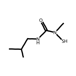 CC(C)CNC(=O)N(C)S